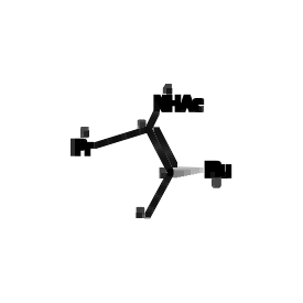 CC[C@@H](C)/C(C)=C(\NC(C)=O)C(C)C